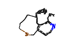 CC(C)c1nccc2c1C(C(C)C)CCCSC2